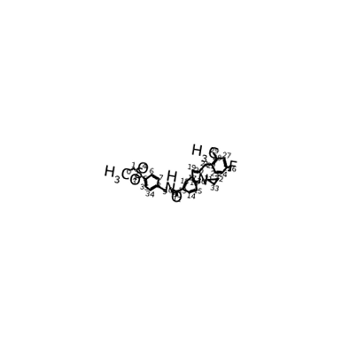 CCS(=O)(=O)c1ccc(CNC(=O)c2ccc3c(c2)cc(Cc2ccc(F)cc2C)n3C2CC2)cc1